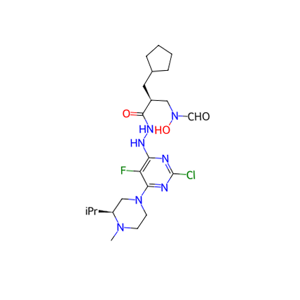 CC(C)[C@H]1CN(c2nc(Cl)nc(NNC(=O)[C@@H](CC3CCCC3)CN(O)C=O)c2F)CCN1C